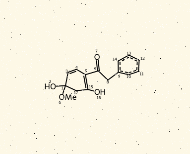 COC1(O)C=CC(C(=O)Cc2ccccc2)=C(O)C1